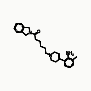 Cc1cccc(C2=CCN(CCCCCC(=O)N3Cc4ccccc4C3)CC2)c1N